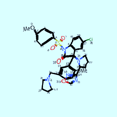 COc1ccc(S(=O)(=O)N2C(=O)C(c3cc(CN4CCCC4)ccc3OC)(N3CCCC3c3ncon3)c3cc(Cl)ccc32)cc1